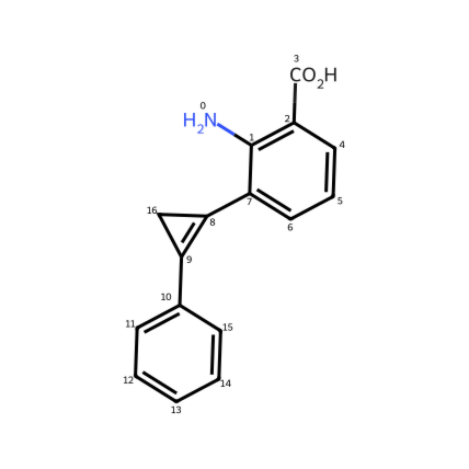 Nc1c(C(=O)O)cccc1C1=C(c2ccccc2)C1